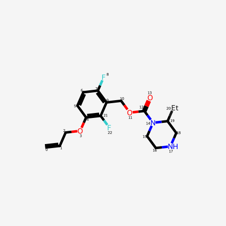 C=CCOc1ccc(F)c(COC(=O)N2CCNCC2CC)c1F